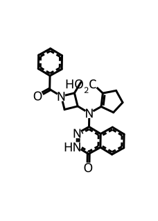 CC1C(N(C2=C(C(=O)O)CCC2)c2n[nH]c(=O)c3ccccc23)CN1C(=O)c1ccccc1